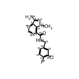 Cn1nc(N)c2ncnc(C(=O)NCc3ccc(F)c(Cl)c3)c21